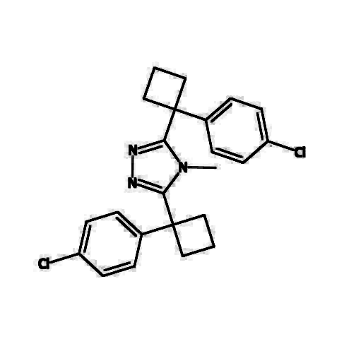 Cn1c(C2(c3ccc(Cl)cc3)CCC2)nnc1C1(c2ccc(Cl)cc2)CCC1